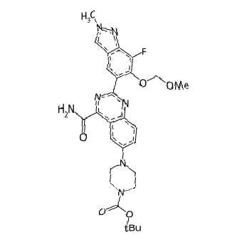 COCOc1c(-c2nc(C(N)=O)c3cc(N4CCN(C(=O)OC(C)(C)C)CC4)ccc3n2)cc2cn(C)nc2c1F